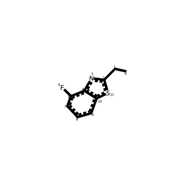 CCc1nc2c(F)cccc2s1